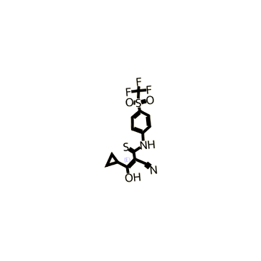 N#C/C(C(=S)Nc1ccc(S(=O)(=O)C(F)(F)F)cc1)=C(\O)C1CC1